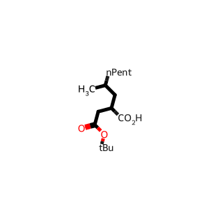 CCCCCC(C)CC(CC(=O)OC(C)(C)C)C(=O)O